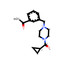 COC(=O)c1cccc(CN2CCN(C(=O)C3CC3)CC2)c1